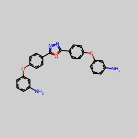 Nc1cccc(Oc2ccc(-c3nnc(-c4ccc(Oc5cccc(N)c5)cc4)o3)cc2)c1